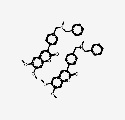 COc1cc2cc(-c3ccc(CN(C)Cc4ccccc4)cc3)c(=O)oc2cc1OC.COc1cc2cc(-c3ccc(CN(C)Cc4ccccc4)cc3)c(=O)oc2cc1OC